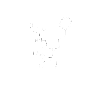 CCC(=O)NC[C@@H]1[C@@H](O)[C@H](O)[C@@H](CF)N1CCCc1ccccc1